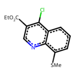 CCOC(=O)c1cnc2c(SC)cccc2c1Cl